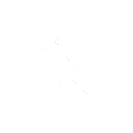 C=C1COc2c(N3CCN(C)CC3)c(F)cc3c(=O)c4c(=O)[nH]oc4n1c23